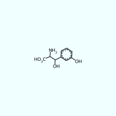 NC(C(=O)O)C(O)c1cccc(O)c1